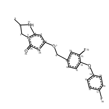 CC1Cn2c(cc(OCc3ccc(Oc4ccc(F)cc4)c(F)c3)nc2=O)N1